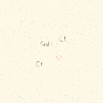 CCOCC.[SnH2]